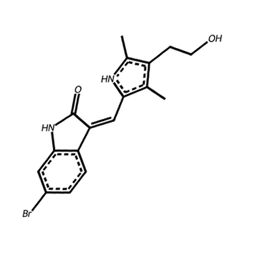 Cc1[nH]c(C=C2C(=O)Nc3cc(Br)ccc32)c(C)c1CCO